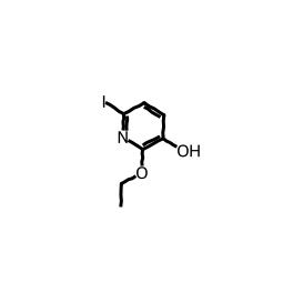 CCOc1nc(I)ccc1O